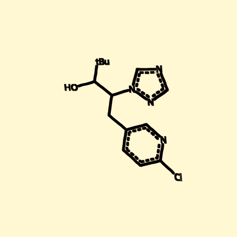 CC(C)(C)C(O)C(Cc1ccc(Cl)nc1)n1cncn1